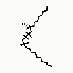 C/C=C/CCCCCCCC(C)(C)CC(C)(C)C(C)(C)CC(C)(P)CCCCC/C=C/C